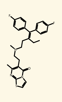 CCC(CCN(C)CCc1c(C)nc2sccn2c1=O)=C(c1ccc(F)cc1)c1ccc(F)cc1